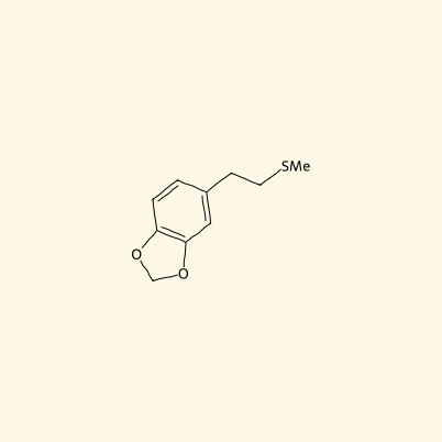 CSCCc1ccc2c(c1)OCO2